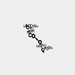 CC(C)(C)OC(=O)N1C2CC2C[C@H]1c1nc2ccc(C#Cc3ccc4c(c3)CCc3nc([C@@H]5C[C@H]6C[C@H]6N5C(=O)OC(C)(C)C)[nH]c3-4)cc2[nH]1